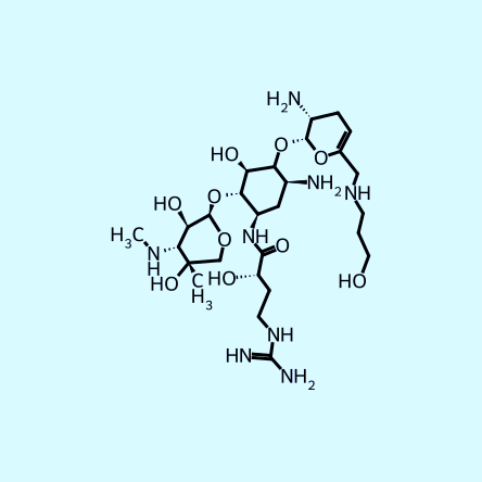 CN[C@@H]1[C@@H](O)[C@@H](O[C@H]2[C@H](NC(=O)[C@@H](O)CCNC(=N)N)C[C@H](N)C(O[C@H]3OC(CNCCCO)=CC[C@H]3N)[C@@H]2O)OC[C@]1(C)O